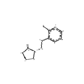 Cc1ncccc1OC[C@@H]1CCCN1